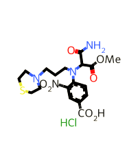 COC(=O)C(C(N)=O)N(CCCN1CCSCC1)c1ccc(C(=O)O)cc1[N+](=O)[O-].Cl